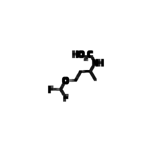 CC(CCOC(F)F)NC(=O)O